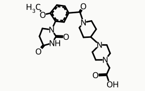 COc1ccc(C(=O)N2CCC(N3CCN(CC(=O)O)CC3)CC2)cc1N1CCC(=O)NC1=O